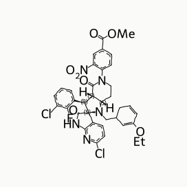 CCOC1=CC(CN2[C@H]3CCN(c4ccc(C(=O)OC)cc4[N+](=O)[O-])C(=O)[C@H]3[C@H](c3cccc(Cl)c3F)[C@]23C(=O)Nc2nc(Cl)ccc23)CC=C1